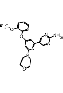 Nc1ncc(-c2cc(Oc3ccccc3OC(F)(F)F)cc(N3CCOCC3)n2)cn1